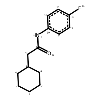 O=C(CC1CCCCC1)Nc1ccc(F)cc1